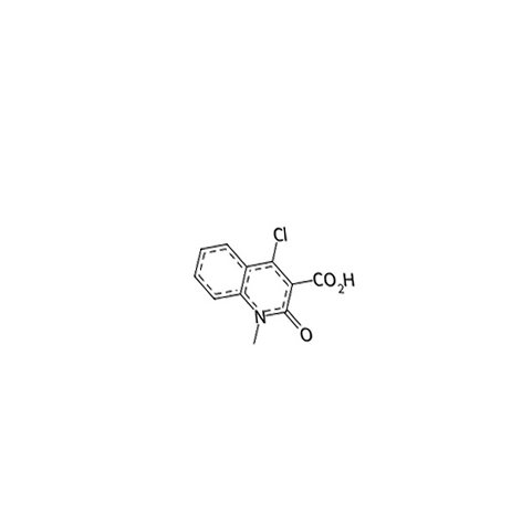 Cn1c(=O)c(C(=O)O)c(Cl)c2ccccc21